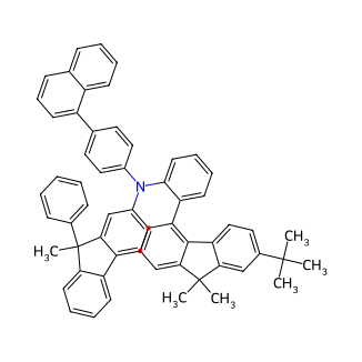 CC(C)(C)c1ccc2c(c1)C(C)(C)c1cccc(-c3ccccc3N(c3ccc(-c4cccc5ccccc45)cc3)c3ccc4c(c3)C(C)(c3ccccc3)c3ccccc3-4)c1-2